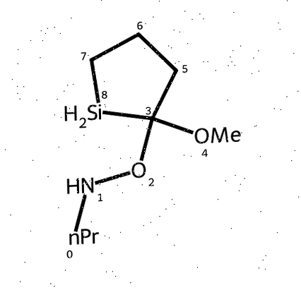 CCCNOC1(OC)CCC[SiH2]1